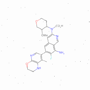 COC1COCCC1N(C(=O)O)c1cc2cc(-c3cnc4c(c3C)NCCO4)c(F)c(N)c2cn1